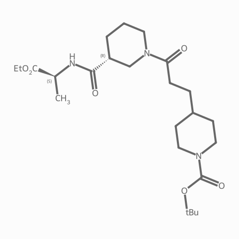 CCOC(=O)[C@H](C)NC(=O)[C@@H]1CCCN(C(=O)CCC2CCN(C(=O)OC(C)(C)C)CC2)C1